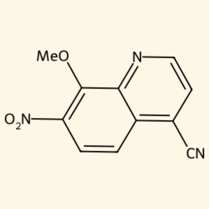 COc1c([N+](=O)[O-])ccc2c(C#N)ccnc12